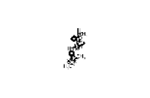 CCOP(=O)(OCC)C(OC)c1ccc(Nc2ncc(C(F)(F)F)c(Nc3ccccc3C(=O)NC)n2)cc1